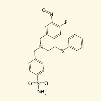 NS(=O)(=O)c1ccc(CN(CCSc2ccccc2)Cc2ccc(F)c(N=O)c2)cc1